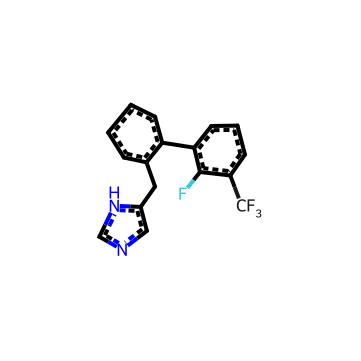 Fc1c(-c2ccccc2Cc2cnc[nH]2)cccc1C(F)(F)F